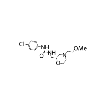 COCCN1CCOC(CNC(=O)Nc2ccc(Cl)cc2)C1